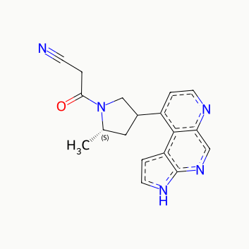 C[C@H]1CC(c2ccnc3cnc4[nH]ccc4c23)CN1C(=O)CC#N